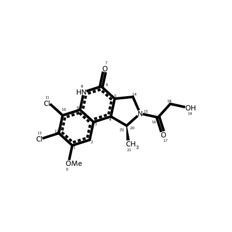 COc1cc2c3c(c(=O)[nH]c2c(Cl)c1Cl)CN(C(=O)CO)[C@H]3C